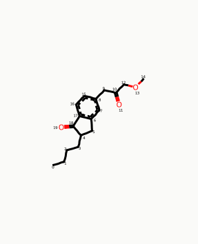 CCCCC1Cc2cc(CC(=O)COC)ccc2C1=O